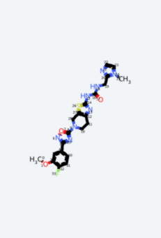 COc1cc(-c2noc(N3CCc4nc(NC(=O)NCc5nccn5C)sc4C3)n2)ccc1F